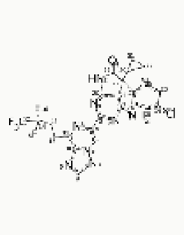 Nc1nc(-c2cn3ncnc3c(CCC(F)(F)C(F)(F)F)n2)nc2c1C(c1ccc(Cl)cn1)(C1CC1)C(=O)N2